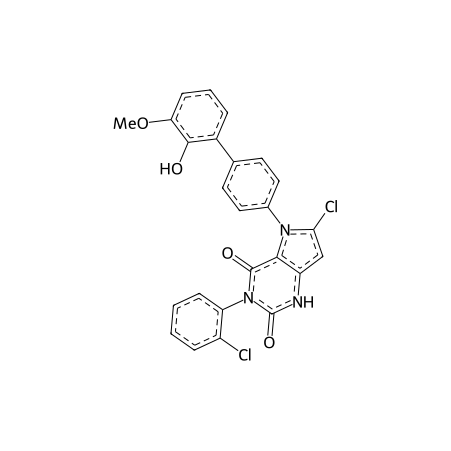 COc1cccc(-c2ccc(-n3c(Cl)cc4[nH]c(=O)n(-c5ccccc5Cl)c(=O)c43)cc2)c1O